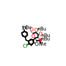 C=C(C)C[C@@]1(c2cc(Cc3ccc(CC)cc3)c(Cl)cc2OC)O[C@H](COCCCC)[C@@H](OCCCC)[C@H](OCCCC)[C@H]1OCCCC